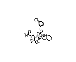 COC(=O)C(CNC(=O)N(C)C)NC(=O)C(CC1CCCCC1)NC(=O)OCc1cccc(Cl)c1